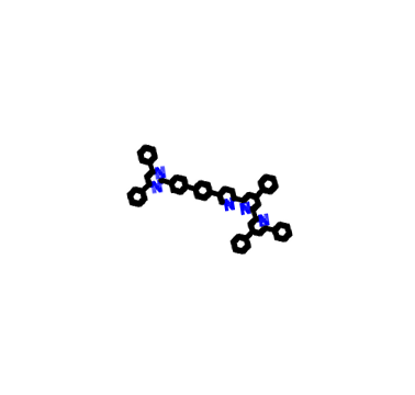 c1ccc(-c2cc(-c3ccccc3)nc(-c3cc(-c4ccccc4)cc(-c4ccc(-c5ccc(-c6ccc(-c7nc(-c8ccccc8)cc(-c8ccccc8)n7)cc6)cc5)cn4)n3)c2)cc1